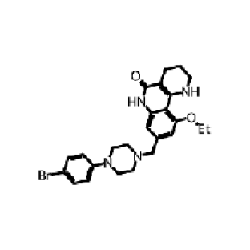 CCOc1cc(CN2CCN(c3ccc(Br)cc3)CC2)cc2[nH]c(=O)c3c(c12)NCCC3